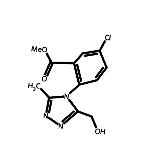 COC(=O)c1cc(Cl)ccc1-n1c(C)nnc1CO